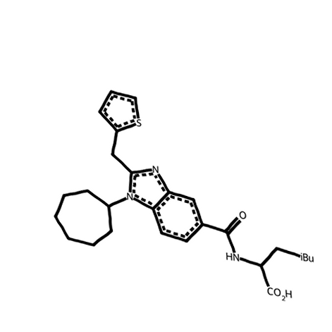 CCC(C)CC(NC(=O)c1ccc2c(c1)nc(Cc1cccs1)n2C1CCCCCC1)C(=O)O